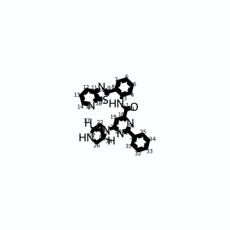 O=C(Nc1ccccc1-c1nc2cccnc2s1)c1cc(N2C[C@H]3C[C@@H]2CN3)nc(-c2ccccc2)n1